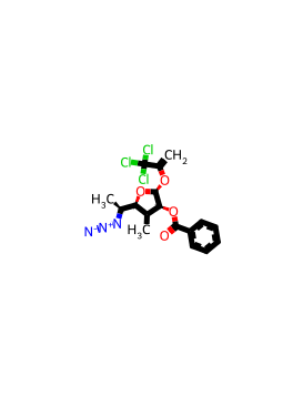 C=C(O[C@@H]1O[C@H]([C@H](C)N=[N+]=[N-])C(C)[C@@H]1OC(=O)c1ccccc1)C(Cl)(Cl)Cl